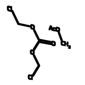 COC(C)=O.O=C(OCCl)OCCl